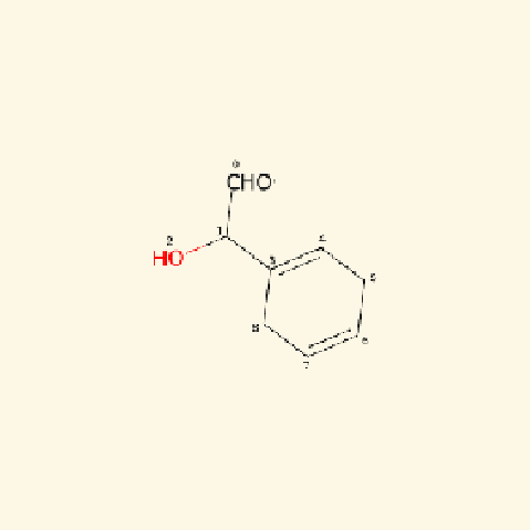 O=[C]C(O)C1=CCC=CC1